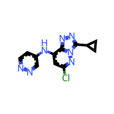 Clc1cc(Nc2ccnnc2)c2nnc(C3CC3)n2n1